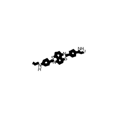 CCCNc1ccc(C2=Nc3ccc4c5c(ccc(c35)S2)N=C(c2ccc(C(N)CC)cc2)S4)cc1